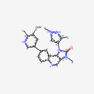 COc1cc(-c2ccc3ncc4c(c3c2)n(-c2cn(C)nc2C)c(=O)n4C)cnc1C